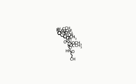 C#CCCC(=O)NCCCC[C@H](NC(=O)OC(C)(C)C)C(=O)N1CC(C)(C)c2nc(O[Si](C)(C)C(C)(C)C)c(Cc3ccc(F)cc3)cc21